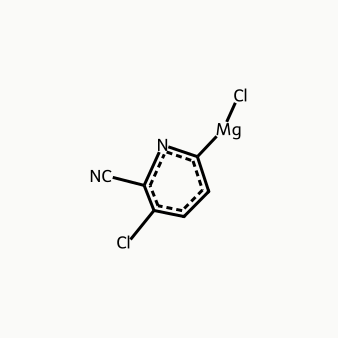 N#Cc1n[c]([Mg][Cl])ccc1Cl